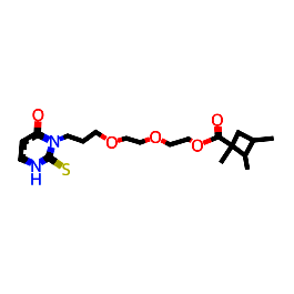 CC1CC(C)(C(=O)OCCOCCOCCCn2c(=O)cc[nH]c2=S)C1C